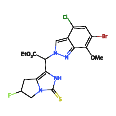 CCOC(=O)C(c1[nH]c(=S)n2c1CC(F)C2)n1cc2c(Cl)cc(Br)c(OC)c2n1